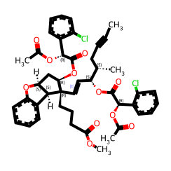 CC#CC[C@H](C)[C@@H](/C=C/[C@@]1(CCCC(=O)OC)[C@H](OC(=O)[C@H](OC(C)=O)c2ccccc2Cl)C[C@@H]2Oc3ccccc3[C@@H]21)OC(=O)[C@H](OC(C)=O)c1ccccc1Cl